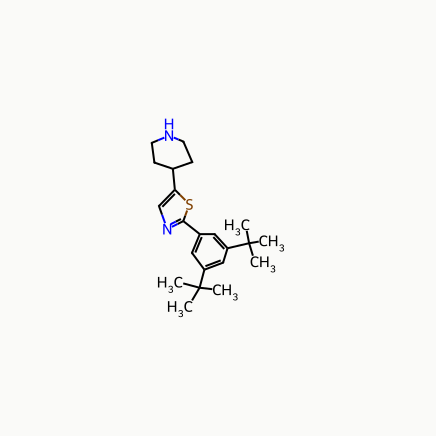 CC(C)(C)c1cc(-c2ncc(C3CCNCC3)s2)cc(C(C)(C)C)c1